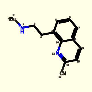 CC(C)(C)NCCc1cccc2ccc(C#N)nc12